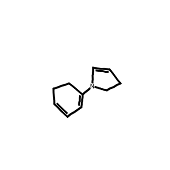 C1=CCCC(N2C=CCC2)=C1